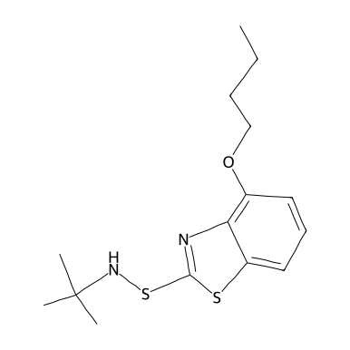 CCCCOc1cccc2sc(SNC(C)(C)C)nc12